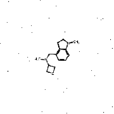 CN1CCc2c(CN(C)C3COC3)cccc21